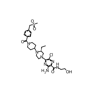 CC[C@H]1CN(c2nc(N)c(C(=O)NCCO)nc2Cl)CCN1C1CCN(C(=O)c2ccc(CS(C)(=O)=O)cc2)CC1